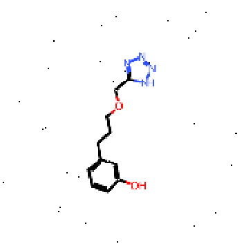 Oc1cccc(CCCOCc2nnn[nH]2)c1